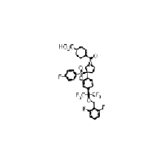 O=C(O)C1CCC(C(=O)N2CC[C@](c3ccc(C(OCc4c(F)cccc4F)(C(F)(F)F)C(F)(F)F)cc3)(S(=O)(=O)c3ccc(F)cc3)C2)CC1